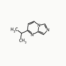 CC(C)c1ccn2cncc2n1